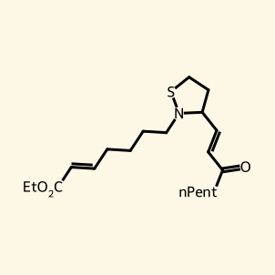 CCCCCC(=O)/C=C/C1CCSN1CCCCC=CC(=O)OCC